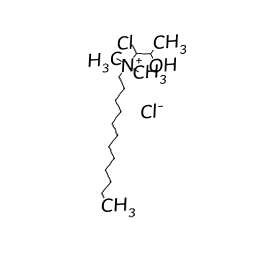 CCCCCCCCCCCC[N+](C)(C)C(Cl)C(C)O.[Cl-]